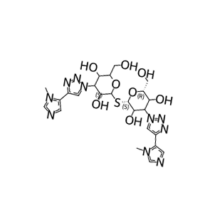 Cn1cncc1-c1cn(C2C(O)[C@@H](CO)O[C@@H](SC3OC(CO)C(O)C(n4cc(-c5cncn5C)nn4)[C@@H]3O)C2O)nn1